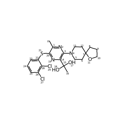 Cc1nc(N2CCC3(CCCO3)CC2)c(C(C)(O)O)nc1Sc1cccc(Cl)c1Cl